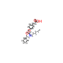 CCCCCCN(CCc1ccccc1)C(=O)COc1ccc(CCC(=O)O)cc1